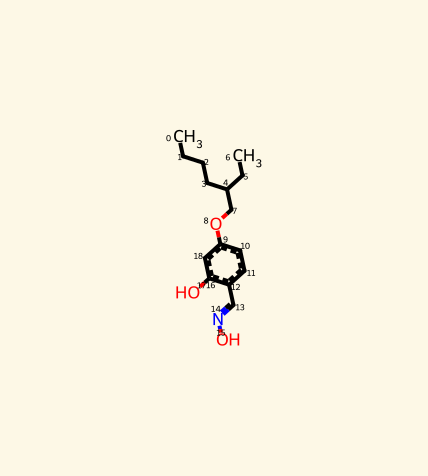 CCCCC(CC)COc1ccc(C=NO)c(O)c1